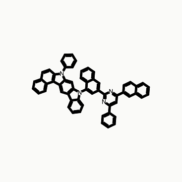 c1ccc(-c2cc(-c3ccc4ccccc4c3)nc(-c3cc(-n4c5ccccc5c5cc6c7c8ccccc8ccc7n(-c7ccccc7)c6cc54)c4ccccc4c3)n2)cc1